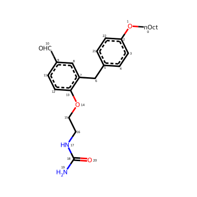 CCCCCCCCOc1ccc(Cc2cc(C=O)ccc2OCCNC(N)=O)cc1